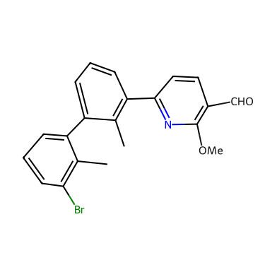 COc1nc(-c2cccc(-c3cccc(Br)c3C)c2C)ccc1C=O